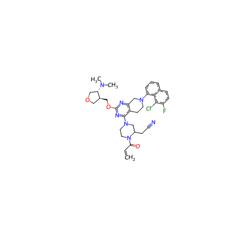 C=CC(=O)N1CCN(c2nc(OC[C@H]3COC[C@@H]3N(C)C)nc3c2CCN(c2cccc4ccc(F)c(Cl)c24)C3)CC1CC#N